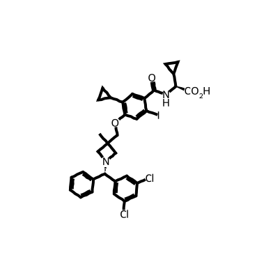 CC1(COc2cc(I)c(C(=O)N[C@H](C(=O)O)C3CC3)cc2C2CC2)CN([C@@H](c2ccccc2)c2cc(Cl)cc(Cl)c2)C1